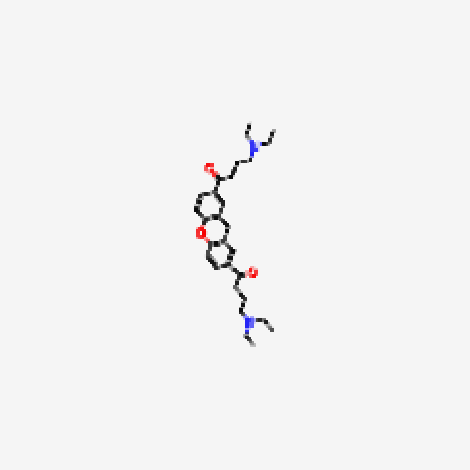 CCN(CC)CCCC(=O)c1ccc2c(c1)Cc1cc(C(=O)CCCN(CC)CC)ccc1O2